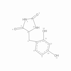 O=C1NC(=O)C(Cc2ccc(O)cc2O)N1